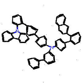 c1ccc(-c2cccc(N(c3ccc(-c4ccc(-c5ccccc5-n5c6ccccc6c6ccccc65)cc4)cc3)c3ccc(-c4ccccc4-c4ccc5ccccc5c4)cc3)c2)cc1